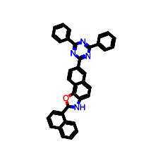 c1ccc(-c2nc(-c3ccccc3)nc(-c3ccc4c5c(ccc4c3)NC(c3cccc4ccccc34)O5)n2)cc1